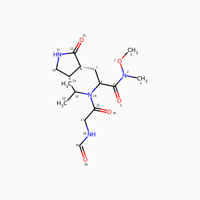 CON(C)C(=O)C(C[C@@H]1CCNC1=O)N(C(=O)CNC=O)C(C)C